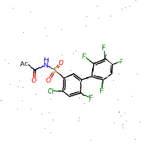 CC(=O)C(=O)NS(=O)(=O)c1cc(-c2c(F)cc(F)c(F)c2F)c(F)cc1Cl